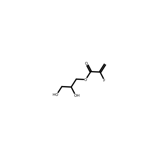 C=C(F)C(=O)OCC(O)CO